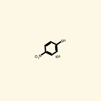 O=[N+]([O-])c1ccc(S)cc1.[KH]